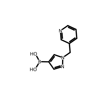 OB(O)c1cnn(Cc2cccnc2)c1